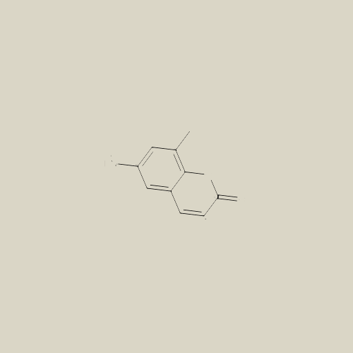 Cc1cc(N)cc2ccc(=O)oc12